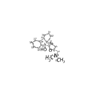 CN(C)Cc1cnc(C2(O)c3ccccc3-c3ccccc32)o1